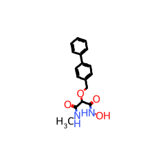 CNC(=O)C(OCc1ccc(-c2ccccc2)cc1)C(=O)NO